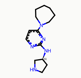 c1cc(N2CCCCCC2)nc(N[C@H]2CCNC2)n1